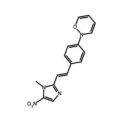 Cn1c([N+](=O)[O-])cnc1C=Cc1ccc(N2C=CC=CO2)cc1